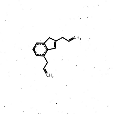 C=CCC1=Cc2c(cccc2CC=C)[CH]1